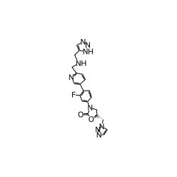 O=C1O[C@@H](Cn2ccnn2)CN1c1ccc(-c2ccc(CNCc3cnn[nH]3)nc2)c(F)c1